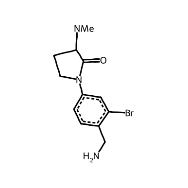 CNC1CCN(c2ccc(CN)c(Br)c2)C1=O